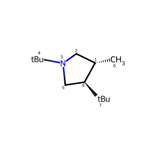 C[C@H]1CN(C(C)(C)C)C[C@@H]1C(C)(C)C